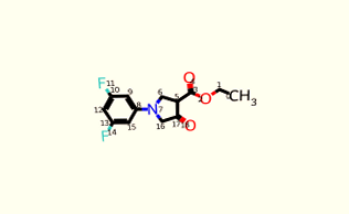 CCOC(=O)C1CN(c2cc(F)cc(F)c2)CC1=O